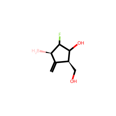 B[C@@H]1C(=C)[C@H](CO)C(O)C1F